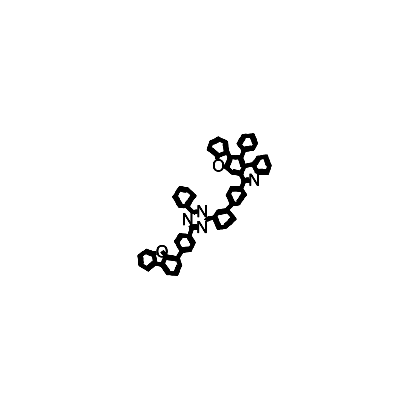 c1ccc(-c2nc(-c3ccc(-c4cccc5c4oc4ccccc45)cc3)nc(-c3cccc(-c4ccc(-c5nc6ccccc6c6c(-c7ccccc7)c7c(cc56)oc5ccccc57)cc4)c3)n2)cc1